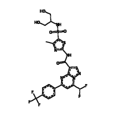 Cc1nc(NC(=O)c2cnn3c(C(F)F)cc(-c4ccc(C(F)(F)F)cc4)nc23)sc1S(=O)(=O)NC(CO)CO